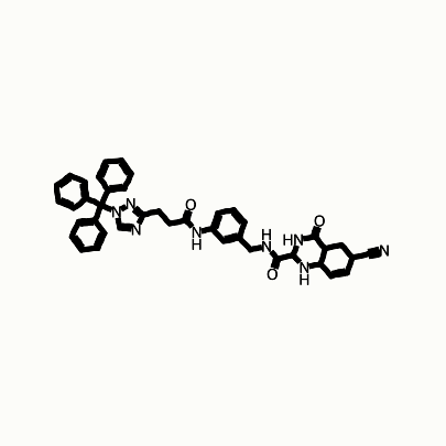 N#CC1C=CC2NC(C(=O)NCc3cccc(NC(=O)CCc4ncn(C(c5ccccc5)(c5ccccc5)c5ccccc5)n4)c3)NC(=O)C2C1